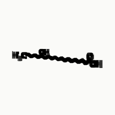 CCCCC[C@H](O)CCCCCCCCCCCCCC(=O)O